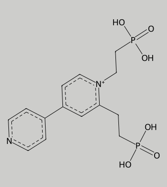 O=P(O)(O)CCc1cc(-c2ccncc2)cc[n+]1CCP(=O)(O)O